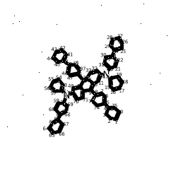 C1=CCCC(C2=CC=C(c3c4cc(N(c5ccccc5)c5ccc(-c6ccccc6)cc5)ccc4c(-c4ccc(-c5ccccc5)cc4)c4cc(N(c5ccccc5)c5ccc(-c6ccccc6)cc5)ccc34)CC2)=C1